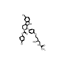 CC(=O)NCC(O)CCOc1ccc([C@H]2c3[nH]c4ccc(Cl)cc4c3CCN2C(=O)Oc2ccc(Cl)cc2)cc1